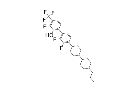 CCCC1CCC(C2CCC(c3ccc(-c4ccc(C(F)(F)F)c(F)c4O)c(F)c3F)CC2)CC1